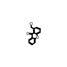 O=c1c2ccccc2oc2cccc(CCl)c12